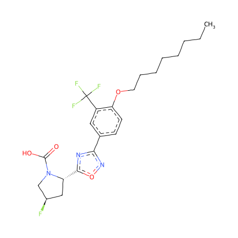 CCCCCCCCOc1ccc(-c2noc([C@@H]3C[C@@H](F)CN3C(=O)O)n2)cc1C(F)(F)F